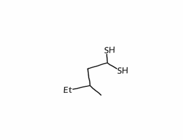 [CH2]CC(C)CC(S)S